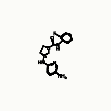 Nc1ccc(N[C@H]2CCN(C(=O)Nc3ccccc3F)C2)nc1